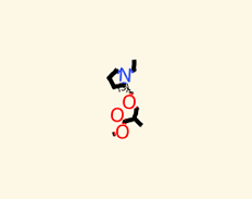 CCN1CCC[C@H]1COCC(C)C(=O)OC